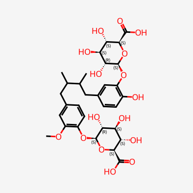 COc1cc(CC(C)C(C)Cc2ccc(O)c(O[C@@H]3O[C@H](C(=O)O)[C@@H](O)[C@H](O)[C@H]3O)c2)ccc1O[C@@H]1O[C@H](C(=O)O)[C@@H](O)[C@H](O)[C@H]1O